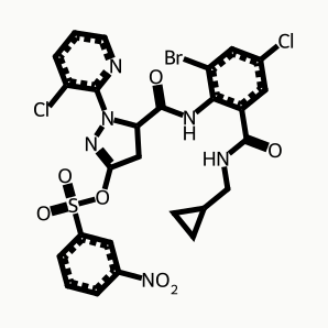 O=C(NCC1CC1)c1cc(Cl)cc(Br)c1NC(=O)C1CC(OS(=O)(=O)c2cccc([N+](=O)[O-])c2)=NN1c1ncccc1Cl